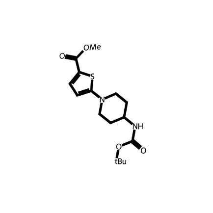 COC(=O)c1ccc(N2CCC(NC(=O)OC(C)(C)C)CC2)s1